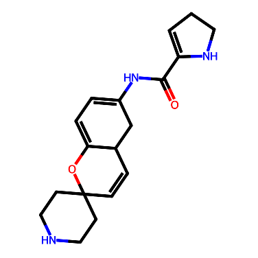 O=C(NC1=CC=C2OC3(C=CC2C1)CCNCC3)C1=CCCN1